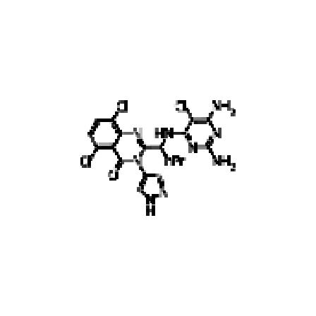 CCC[C@H](Nc1nc(N)nc(N)c1Cl)c1nc2c(Cl)ccc(Cl)c2c(=O)n1-c1cn[nH]c1